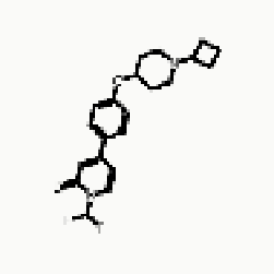 O=c1cc(-c2ccc(OC3CCN(C4CCC4)CC3)cc2)ccn1C(F)F